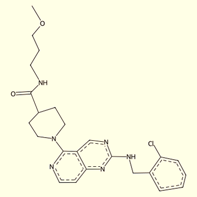 COCCCNC(=O)C1CCN(c2nccc3nc(NCc4ccccc4Cl)ncc23)CC1